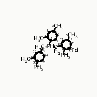 Cc1ccc(P)c(C)c1.Cc1ccc(P)c(C)c1.Cc1ccc(P)c(C)c1.[Pd]